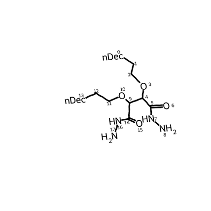 CCCCCCCCCCCCOC(C(=O)NN)C(OCCCCCCCCCCCC)C(=O)NN